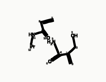 C=C(CO)C(N)=O.C=CC(=O)NC(C)C